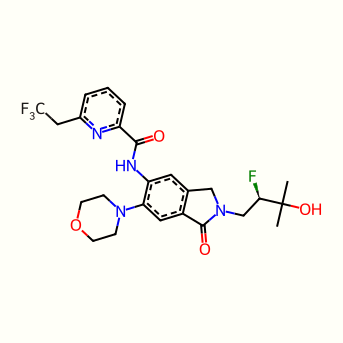 CC(C)(O)[C@H](F)CN1Cc2cc(NC(=O)c3cccc(CC(F)(F)F)n3)c(N3CCOCC3)cc2C1=O